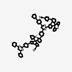 N#Cc1ccc(-c2cccc3c2-c2cc(-c4nc(-c5ccc(-c6ccccc6)cc5)cc(-c5ccc(-c6cccc7c6Sc6ccccc6C76c7ccc(-c8ccc(-c9nc(-c%10ccccc%10)cc(-c%10ccccc%10)n9)cc8)cc7-c7c(C#N)cccc76)cc5)n4)ccc2C32c3ccccc3Sc3ccccc32)cc1